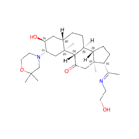 CC(=NCCO)[C@H]1CC[C@H]2[C@@H]3CC[C@H]4C[C@H](O)[C@@H](N5CCOC(C)(C)C5)C[C@]4(C)[C@H]3C(=O)C[C@]12C